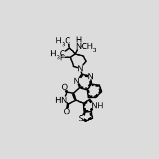 CNC1(C(C)C)CCN(c2nc(C3=C(c4c[nH]c5ccsc45)C(=O)NC3=O)c3ccccc3n2)CC1F